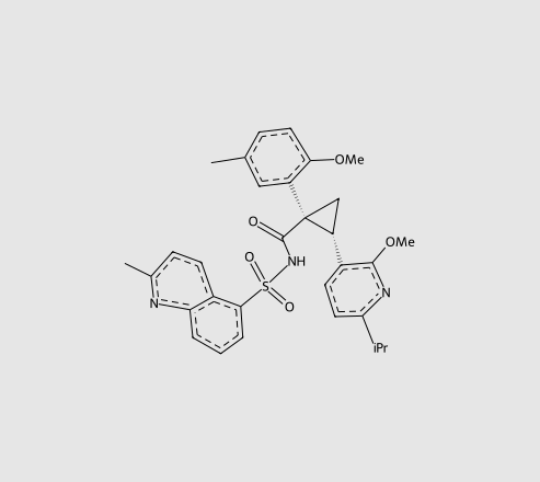 COc1ccc(C)cc1[C@]1(C(=O)NS(=O)(=O)c2cccc3nc(C)ccc23)C[C@@H]1c1ccc(C(C)C)nc1OC